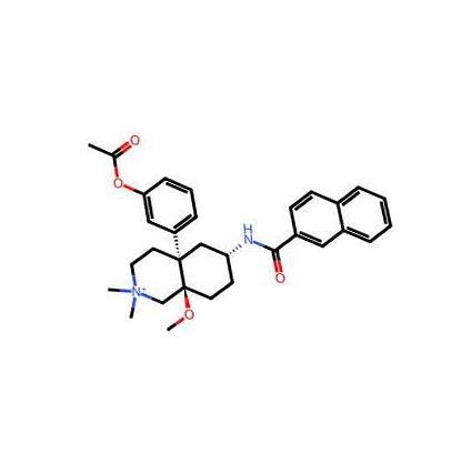 CO[C@]12CC[C@@H](NC(=O)c3ccc4ccccc4c3)C[C@]1(c1cccc(OC(C)=O)c1)CC[N+](C)(C)C2